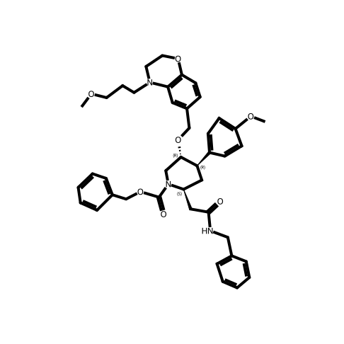 COCCCN1CCOc2ccc(CO[C@H]3CN(C(=O)OCc4ccccc4)[C@H](CC(=O)NCc4ccccc4)C[C@@H]3c3ccc(OC)cc3)cc21